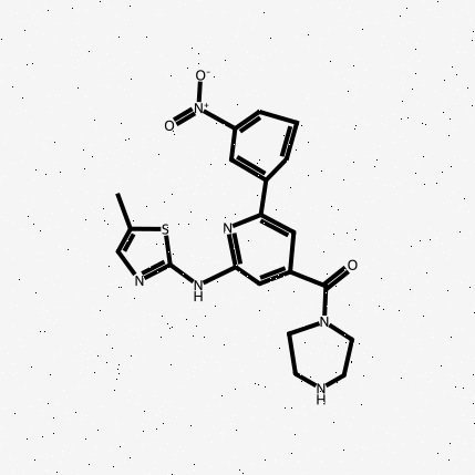 Cc1cnc(Nc2cc(C(=O)N3CCNCC3)cc(-c3cccc([N+](=O)[O-])c3)n2)s1